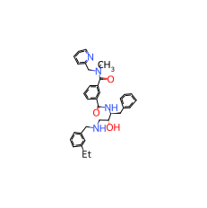 CCc1cccc(CNC[C@@H](O)[C@H](Cc2ccccc2)NC(=O)c2cccc(C(=O)N(C)Cc3ccccn3)c2)c1